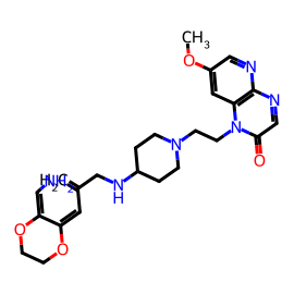 C=C(/C=C1/OCCO/C1=C/N)CNC1CCN(CCn2c(=O)cnc3ncc(OC)cc32)CC1